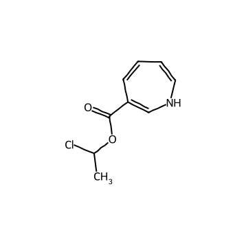 CC(Cl)OC(=O)C1=CNC=CC=C1